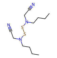 CCCCN(CC#N)SSN(CC#N)CCCC